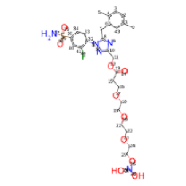 Cc1ccc(C)c(Cc2nc(COC(=O)CCOCCOCCOCCON(O)O)nn2-c2ccc(S(N)(=O)=O)cc2F)c1